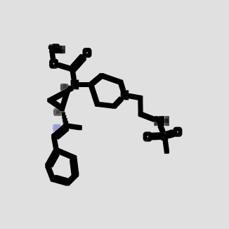 C/C(=C\c1ccccc1)[C@@H]1C[C@H]1N(C(=O)OC(C)(C)C)C1CCN(CCNS(C)(=O)=O)CC1